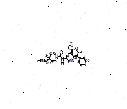 C=C(/C=N\c1c(-c2ccccc2)cnc(OC)c1C)NC(=O)N1CCC(C)(CO)CC1